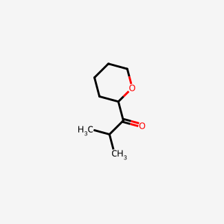 CC(C)C(=O)C1CCCCO1